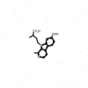 COc1ccc2c3ccnc(C)c3n(CCC(C)C(=O)O)c2c1